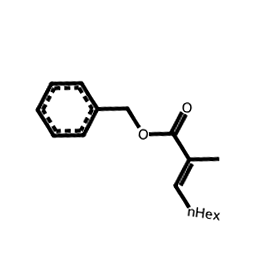 CCCCCCC=C(C)C(=O)OCc1ccccc1